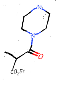 CCOC(=O)C(C)C(=O)N1CC[N]CC1